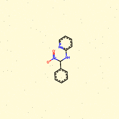 O=[N+]([O-])C(Nc1ccccn1)c1ccccc1